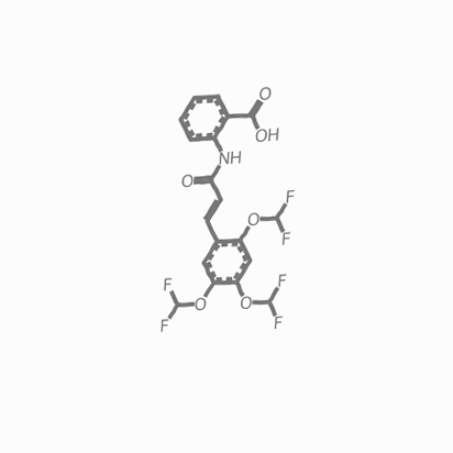 O=C(/C=C/c1cc(OC(F)F)c(OC(F)F)cc1OC(F)F)Nc1ccccc1C(=O)O